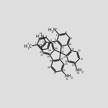 Cc1ccc(-c2c(N)ccc3c2C2(c4cc(N)ccc4-c4ccc(N)cc42)c2cc(N)ccc2-3)cc1